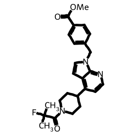 COC(=O)c1ccc(Cn2ccc3c(C4CCN(C(=O)C(C)(C)F)CC4)ccnc32)cc1